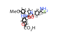 COc1ccc([C@@H]2CCN(C(=O)[C@H]3CC[C@H](C(N)CF)CC3)[C@@H]2C(=O)Nc2ccc3oc(C(=O)O)cc3c2)cc1